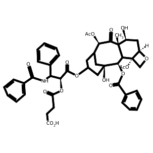 CC(=O)O[C@H]1C(=O)[C@@]2(C)C([C@@H](OC(=O)c3ccccc3)[C@]3(O)CC(OC(=O)[C@@H](OC(=O)CCC(=O)O)C(NC(=O)c4ccccc4)c4ccccc4)CC1C3)[C@]1(OC(C)=O)CO[C@@H]1C[C@@H]2O